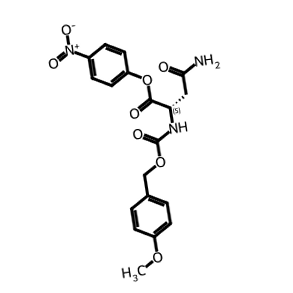 COc1ccc(COC(=O)N[C@@H](CC(N)=O)C(=O)Oc2ccc([N+](=O)[O-])cc2)cc1